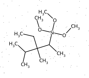 CCC(C)(C(C)C)C(C)[Si](OC)(OC)OC